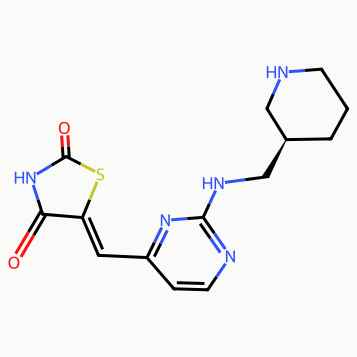 O=C1NC(=O)C(=Cc2ccnc(NC[C@@H]3CCCNC3)n2)S1